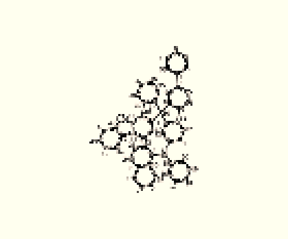 c1ccc(-c2ccc3c(c2)C2(c4cc(N(c5ccccc5)c5cccc6ccccc56)ccc4-3)c3ccccc3-c3c2ccc2c3oc3ccccc32)cc1